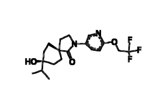 CC(C)[C@]1(O)CC[C@]2(CCN(c3ccc(OCC(F)(F)F)nc3)C2=O)CC1